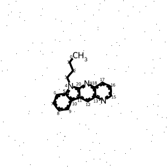 CCCCn1c2ccccc2c2cc3ncccc3nc21